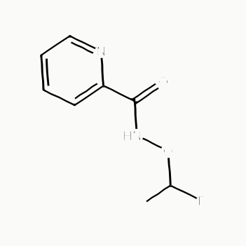 O=C(NOC(F)F)c1ccccn1